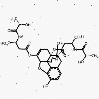 C[C@H](O)C(=O)N[C@@H](CC(=O)OC1=CC[C@@]2(OC(=O)C[C@H](NC(=O)[C@H](C)O)C(=O)O)[C@H]3Cc4ccc(O)c5c4C2(CCN3C)C1O5)C(=O)O